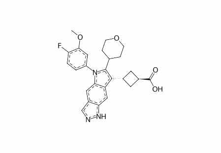 COc1cc(-n2c(C3CCOCC3)c([C@H]3C[C@H](C(=O)O)C3)c3cc4[nH]ncc4cc32)ccc1F